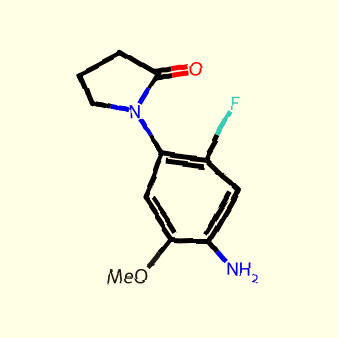 COc1cc(N2CCCC2=O)c(F)cc1N